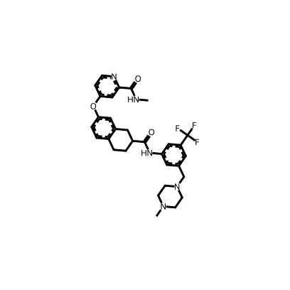 CNC(=O)c1cc(Oc2ccc3c(c2)CC(C(=O)Nc2cc(CN4CCN(C)CC4)cc(C(F)(F)F)c2)CC3)ccn1